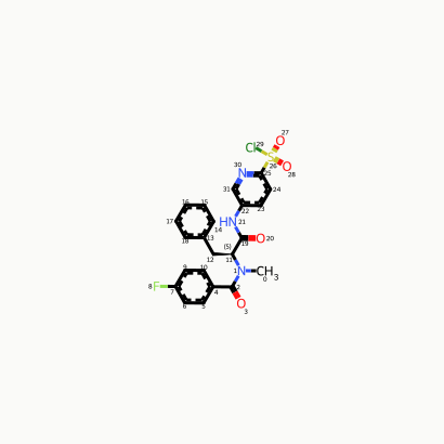 CN(C(=O)c1ccc(F)cc1)[C@@H](Cc1ccccc1)C(=O)Nc1ccc(S(=O)(=O)Cl)nc1